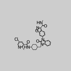 CNC(=O)c1noc2cc(-n3c(=O)n(CC4CCC(NC(=O)c5cc(Cl)cnc5C)CC4)c4ccccc43)ccc12